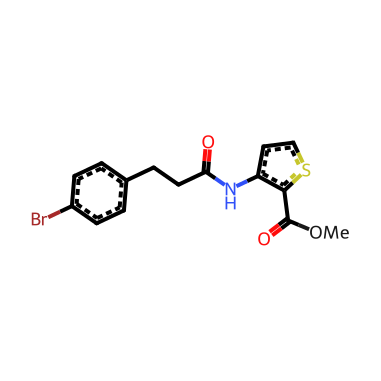 COC(=O)c1sccc1NC(=O)CCc1ccc(Br)cc1